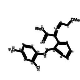 COCC=C=C(C(=O)OC)c1ccccc1COc1ccc(C(F)(F)F)cc1Cl